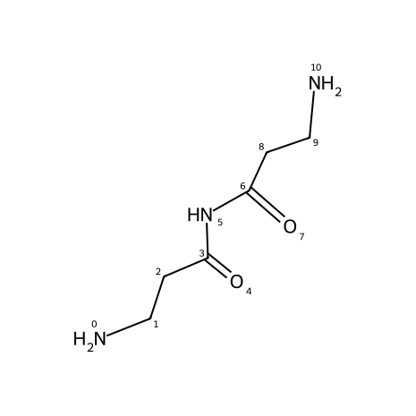 NCCC(=O)NC(=O)CCN